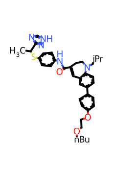 CCCCOCCOc1ccc(-c2ccc3c(c2)C=C(C(=O)Nc2ccc(SC(C)c4nc[nH]n4)cc2)CCN3CC(C)C)cc1